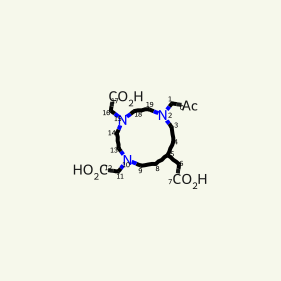 CC(=O)CN1CCC(CC(=O)O)CCN(CC(=O)O)CCN(CC(=O)O)CC1